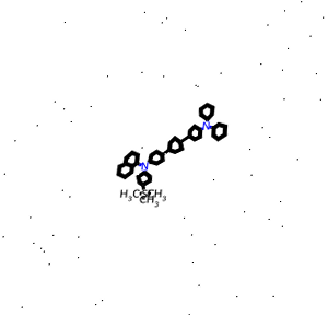 C[Si](C)(C)c1ccc(N(c2ccc(-c3ccc(-c4ccc(N(c5ccccc5)c5ccccc5)cc4)cc3)cc2)c2cccc3ccccc23)cc1